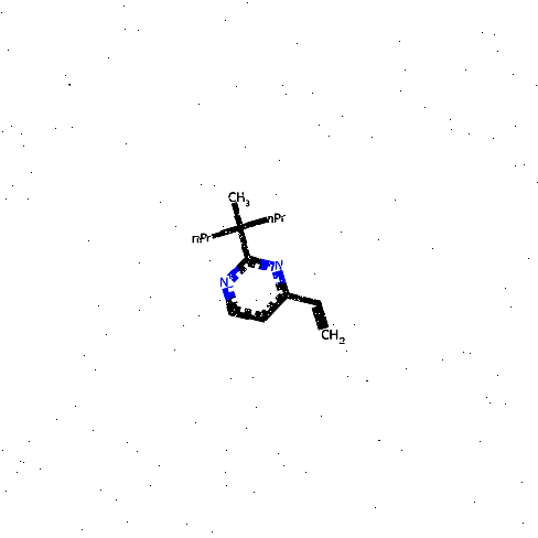 C=Cc1ccnc(C(C)(CCC)CCC)n1